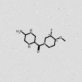 CO[C@H]1CCN(C(=O)C2CNC(N)CN2)C[C@H]1F